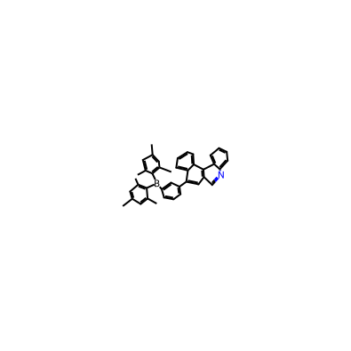 Cc1cc(C)c(B(c2cccc(-c3cc4cnc5ccccc5c4c4ccccc34)c2)c2c(C)cc(C)cc2C)c(C)c1